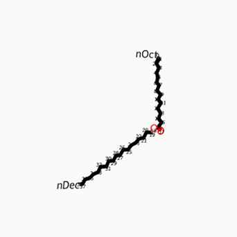 CCCCCCCCC=CCCCCCCCCCCCCCC(=O)OCCCCCCCCCCCCCCCCCCCCCCCCCCCCC